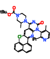 Cc1ccnc(C(C)C)c1-n1c(=O)nc(N2CCN(C(=O)OC(C)(C)C)CC2C)c2cc(Cl)c(-c3cccc4cccc(C)c34)nc21